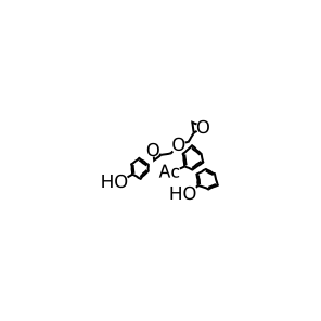 C(OCC1CO1)C1CO1.CC(=O)c1ccccc1.Oc1ccccc1.Oc1ccccc1